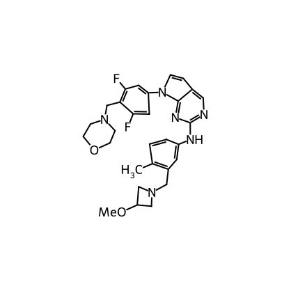 COC1CN(Cc2cc(Nc3ncc4ccn(-c5cc(F)c(CN6CCOCC6)c(F)c5)c4n3)ccc2C)C1